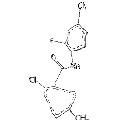 Cc1ccc(Cl)c(C(=O)Nc2ccc(C#N)cc2F)c1